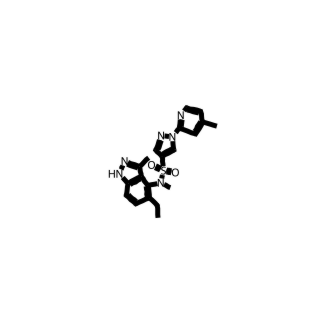 CCc1ccc2[nH]nc(C)c2c1N(C)S(=O)(=O)c1cnn(-c2cc(C)ccn2)c1